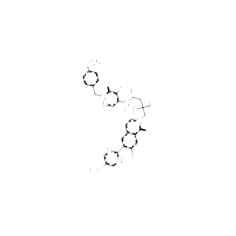 COc1ccc(Cn2ncc(N[C@@H](C)CC(F)(F)Cn3ccc4cc(-c5ncc(C(F)(F)F)cn5)c(F)cc4c3=O)c(C(F)(F)F)c2=O)cc1